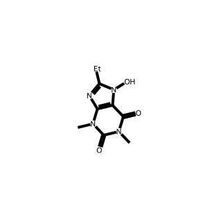 CCc1nc2c(c(=O)n(C)c(=O)n2C)n1O